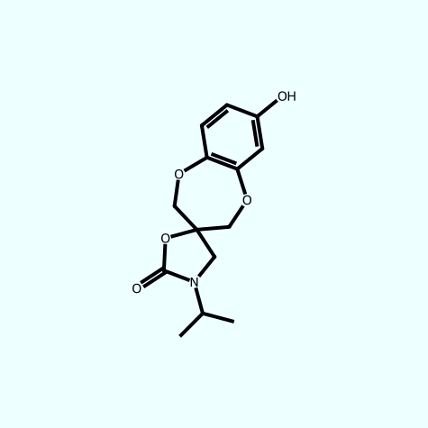 CC(C)N1CC2(COc3ccc(O)cc3OC2)OC1=O